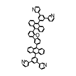 c1cncc(-c2cc(-c3cccnc3)cc(-c3c4ccccc4c(-c4ccc5oc6c(-c7c8ccccc8c(-c8cc(-c9cccnc9)cc(-c9cccnc9)c8)c8ccccc78)cccc6c5c4)c4ccccc34)c2)c1